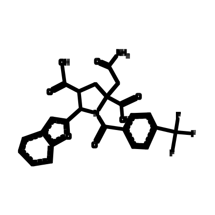 NC(=O)CC1(C(=O)O)CC(C(=O)O)C(c2cc3ccccc3o2)N1C(=O)c1ccc(C(F)(F)F)cc1